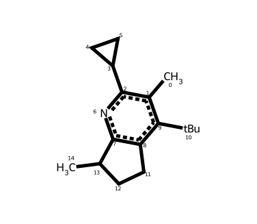 Cc1c(C2CC2)nc2c(c1C(C)(C)C)CCC2C